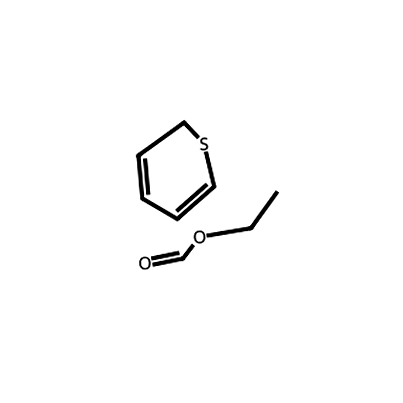 C1=CCSC=C1.CCOC=O